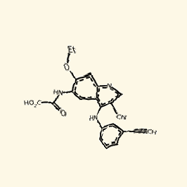 C#Cc1cccc(Nc2c(C#N)cnc3cc(OCC)c(NC(=O)C(=O)O)cc23)c1